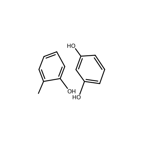 Cc1ccccc1O.Oc1cccc(O)c1